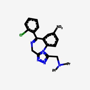 CC(C)N(Cc1nnc2n1-c1ccc([N+](=O)[O-])cc1C(c1ccccc1Cl)=NC2)C(C)C